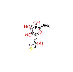 CO[C@H]1O[C@H](CCC2(O)CSC2)[C@@H](O)[C@H](O)[C@@H]1O